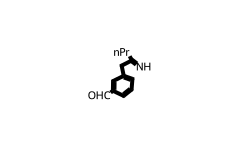 CCCC(=N)Cc1cccc(C=O)c1